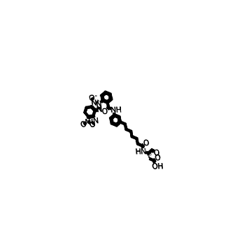 O=C[C@H](CC(=O)O)NC(=O)CCCCCCc1cccc(NC(=O)c2ccccc2-n2nc3c([n+]2[O-])CCc2c-3no[n+]2[O-])c1